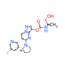 C[C@H](CO)NC(=O)Oc1cnn2ccc(N3CCC[C@@H]3c3cncc(F)c3)nc12